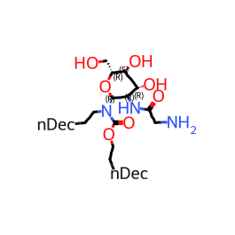 CCCCCCCCCCCCOC(=O)N(CCCCCCCCCCCC)[C@@H]1O[C@H](CO)[C@@H](O)[C@H](O)[C@H]1NC(=O)CN